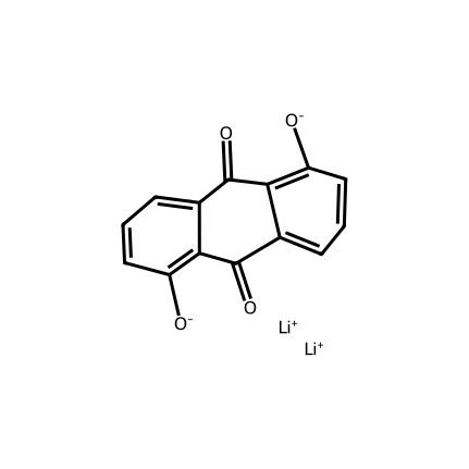 O=C1c2cccc([O-])c2C(=O)c2cccc([O-])c21.[Li+].[Li+]